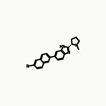 CN1CCC[C@H]1c1nc2ccc(-c3ccc4cc(Br)ccc4c3)cc2[nH]1